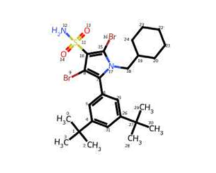 CC(C)(C)c1cc(-c2c(Br)c(S(N)(=O)=O)c(Br)n2CC2CCCCC2)cc(C(C)(C)C)c1